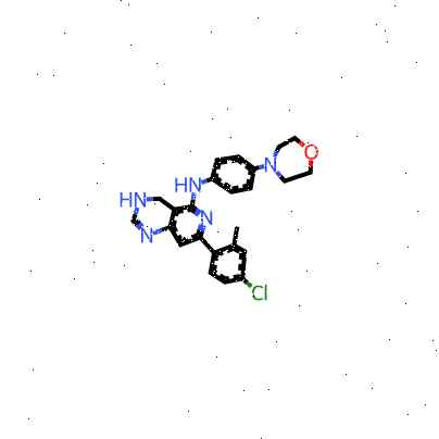 Cc1cc(Cl)ccc1-c1cc2c(c(Nc3ccc(N4CCOCC4)cc3)n1)CNC=N2